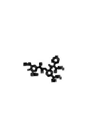 COc1cc(C(=O)NCc2ccc(C(=N)N)cc2N(C)C(C(N)=O)c2ccncn2)cc(OC)c1C